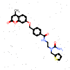 Cc1cc(=O)oc2cc(OCc3ccc(C(=O)NCCN(Cc4cccs4)C(N)=O)cc3)ccc12